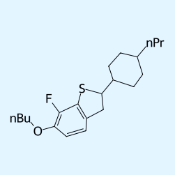 CCCCOc1ccc2c(c1F)SC(C1CCC(CCC)CC1)C2